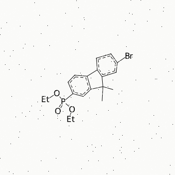 CCOP(=O)(OCC)c1ccc2c(c1)C(C)(C)c1cc(Br)ccc1-2